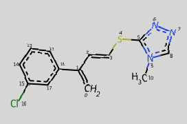 C=C(/C=C/Sc1nncn1C)c1cccc(Cl)c1